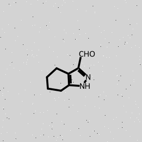 O=Cc1n[nH]c2c1CCCC2